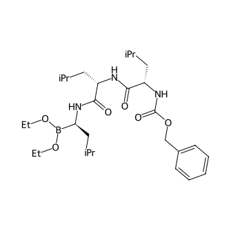 CCOB(OCC)[C@H](CC(C)C)NC(=O)[C@H](CC(C)C)NC(=O)[C@H](CC(C)C)NC(=O)OCc1ccccc1